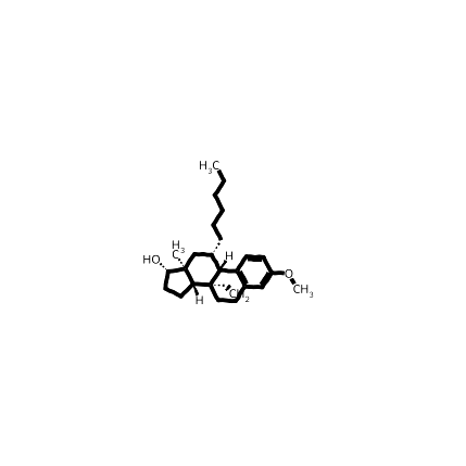 C=C[C@@]12CCc3cc(OC)ccc3[C@H]1[C@@H](CCCCCC)C[C@@]1(C)[C@H]2CC[C@@H]1O